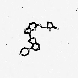 O=C1CC[C@H](COc2ccc3ncc(-c4cc5c(N6CCOCC6)cccc5o4)n3n2)N1